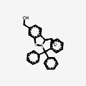 O=CC1c2ccc(CO)cc2SN1C(c1ccccc1)(c1ccccc1)c1ccccc1